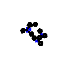 c1ccc(-c2cccc(-c3nc(-c4ccccc4)nc(-c4ccc(-c5ccc6nc(-c7ccccc7)c7cc8c9ccccc9n(-c9ccccc9)c8cc7c6c5)cc4)n3)c2)cc1